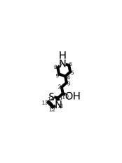 OC(CCC1CCNCC1)c1nccs1